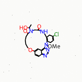 CON1C2=C(CNC(=O)CN(C(C)O)C(=O)CCCCOc3ccc4ncnc1c4c3)CC(Cl)=CC2